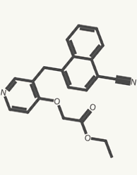 CCOC(=O)COc1ccncc1Cc1ccc(C#N)c2ccccc12